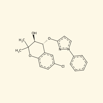 CC1(C)Oc2ccc(Cl)cc2[C@@H](Oc2ccn(-c3ccccc3)n2)[C@@H]1O